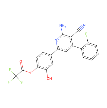 N#Cc1c(-c2ccccc2F)cc(-c2ccc(OC(=O)C(F)(F)F)c(O)c2)nc1N